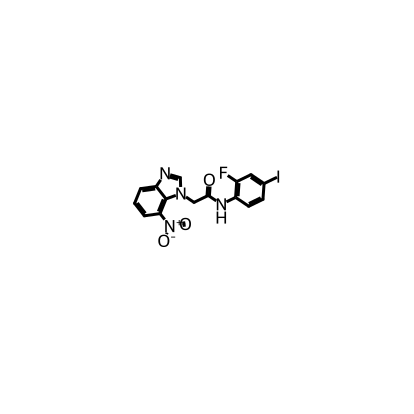 O=C(Cn1cnc2cccc([N+](=O)[O-])c21)Nc1ccc(I)cc1F